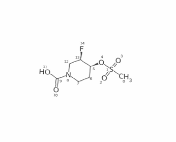 CS(=O)(=O)O[C@H]1CCN(C(=O)O)C[C@H]1F